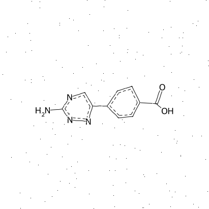 Nc1ncc(-c2ccc(C(=O)O)cc2)nn1